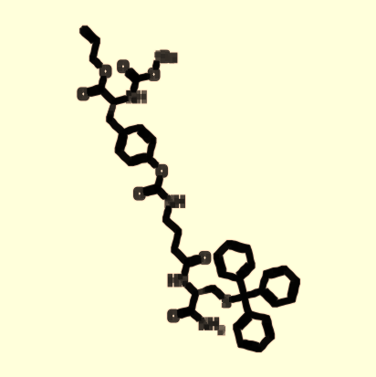 C=CCOC(=O)[C@H](Cc1ccc(OC(=O)NCCCC(=O)N[C@@H](CSC(c2ccccc2)(c2ccccc2)c2ccccc2)C(N)=O)cc1)NC(=O)OC(C)(C)C